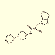 N[C@H](Cc1csc2ccccc12)C(=O)Nc1ccc(-c2ccncc2)cc1